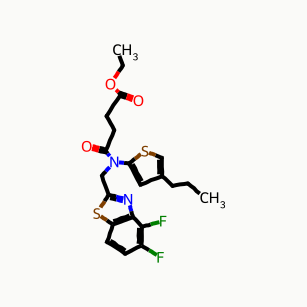 CCCc1csc(N(Cc2nc3c(F)c(F)ccc3s2)C(=O)CCC(=O)OCC)c1